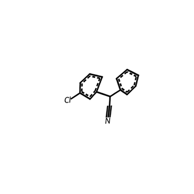 N#CC(c1ccccc1)c1cccc(Cl)c1